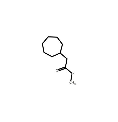 C[N]C(=O)CC1CCCCCC1